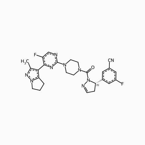 Cc1nn2c(c1-c1nc(N3CCN(C(=O)N4N=CC[C@H]4c4cc(F)cc(C#N)c4)CC3)ncc1F)CCC2